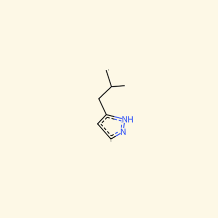 [CH2]C(C)Cc1c[c]n[nH]1